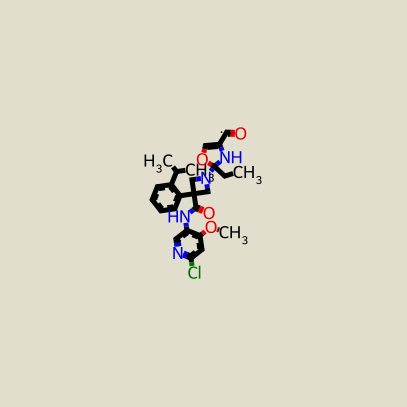 CCC1(N2CC(C(=O)Nc3cnc(Cl)cc3OC)(c3ccccc3C(C)C)C2)NC([C]=O)=CO1